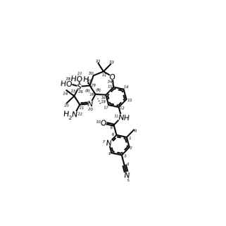 Cc1cc(C#N)cnc1C(=O)Nc1ccc2c(c1)[C@@]1(C)N=C(N)C(C)(C)S(O)(O)[C@@H]1CC(C)(C)O2